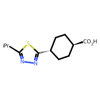 CC(C)c1nnc([C@H]2CC[C@H](C(=O)O)CC2)s1